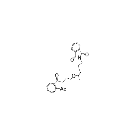 CC(=O)c1ccccc1C(=O)CCCOC(C)CCCN1C(=O)c2ccccc2C1=O